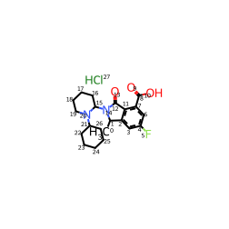 CC1c2cc(F)cc(C(=O)O)c2C(=O)N1C1CCCCN1C1CCCCC1.Cl